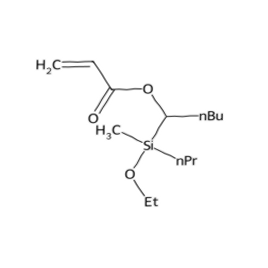 C=CC(=O)OC(CCCC)[Si](C)(CCC)OCC